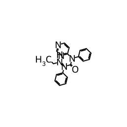 CCNN(C(=O)N(c1ccccc1)c1ccncn1)c1ccccc1